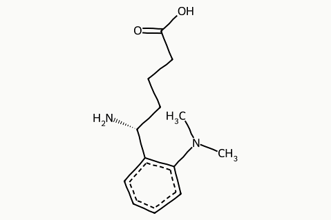 CN(C)c1ccccc1[C@H](N)CCCC(=O)O